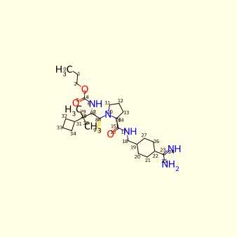 CCCOC(=O)N[C@H](C(=S)N1CCC[C@H]1C(=O)NCC1CCC(C(=N)N)CC1)C(C)(C)C1CCC1